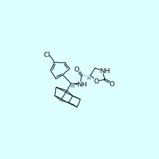 O=C1NC[C@@H](C(=O)N[C@H](c2ccc(Cl)cc2)C23C4C5C6C4C2C6C53)O1